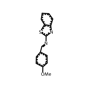 COc1ccc(C=Nc2nc3ccccc3s2)cc1